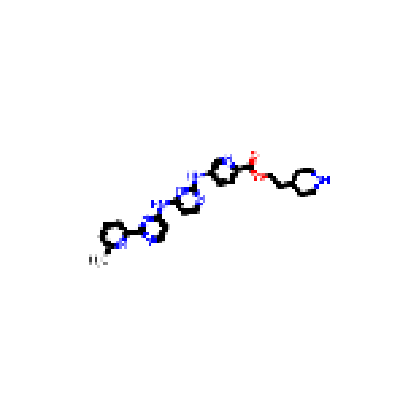 Cc1cccc(-c2nccc(Nc3ccnc(Nc4ccc(C(=O)OCCC5CCNCC5)nc4)n3)n2)n1